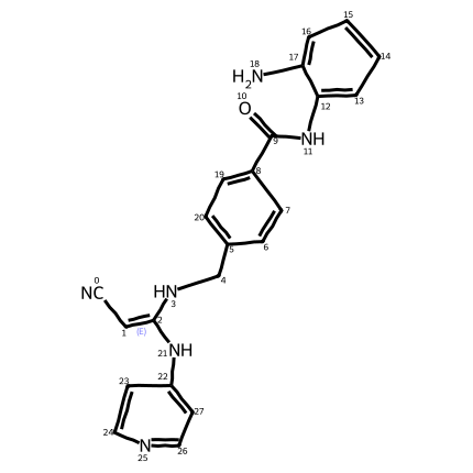 N#C/C=C(\NCc1ccc(C(=O)Nc2ccccc2N)cc1)Nc1ccncc1